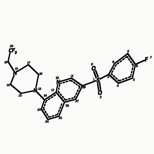 O=S(=O)(c1ccc(F)cc1)c1cnc2c(N3CCN(CC(F)(F)F)CC3)cccc2c1